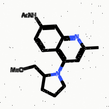 COCC1CCCN1c1cc(C)nc2cc(NC(C)=O)ccc12